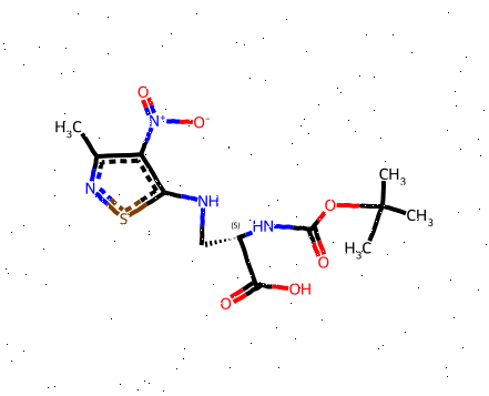 Cc1nsc(NC[C@H](NC(=O)OC(C)(C)C)C(=O)O)c1[N+](=O)[O-]